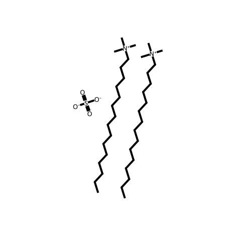 CCCCCCCCCCCCCCC[N+](C)(C)C.CCCCCCCCCCCCCCC[N+](C)(C)C.O=S(=O)([O-])[O-]